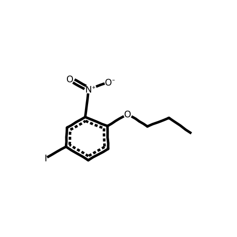 CCCOc1ccc(I)cc1[N+](=O)[O-]